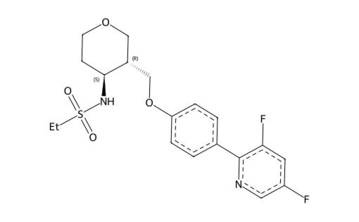 CCS(=O)(=O)N[C@H]1CCOC[C@@H]1COc1ccc(-c2ncc(F)cc2F)cc1